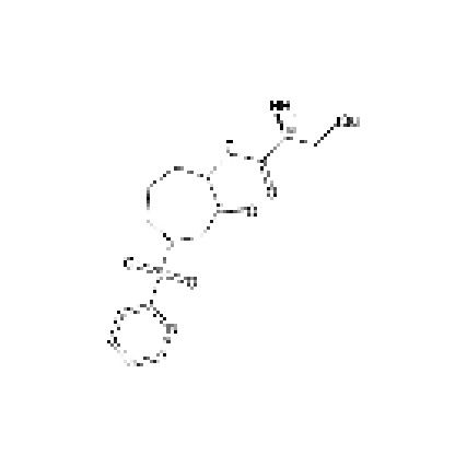 CC(C)(C)C[C@H](N)C(=O)NC1CCCN(S(=O)(=O)c2ccccn2)CC1=O